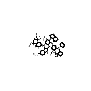 Cc1cc2c3c(c1)N(c1cccc4ccccc14)c1cc4c(cc1C3C1=C(c3cc(C(C)(C)C)ccc3C1)N2c1ccc2c(c1)C(C)(C)CCC2(C)C)C(C)(C)c1ccccc1N4c1ccccc1